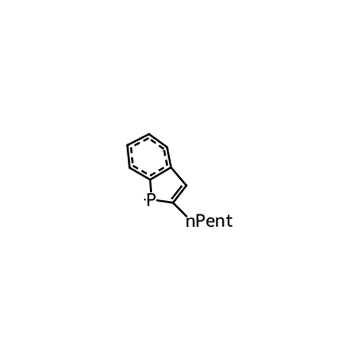 CCCCCC1=Cc2ccccc2[P]1